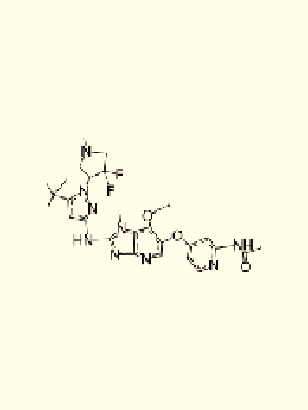 COc1c(Oc2ccnc(NC(C)=O)c2)cnc2nc(Nc3cc(C(C)(C)C)n([C@H]4CN(C)CC4(F)F)n3)n(C)c12